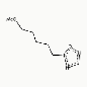 [CH2]OCCCCCc1ncno1